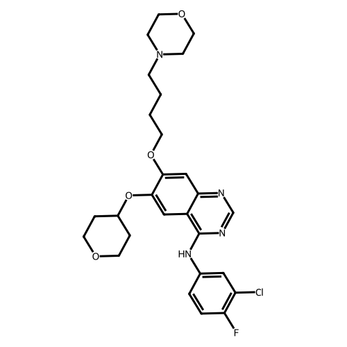 Fc1ccc(Nc2ncnc3cc(OCCCCN4CCOCC4)c(OC4CCOCC4)cc23)cc1Cl